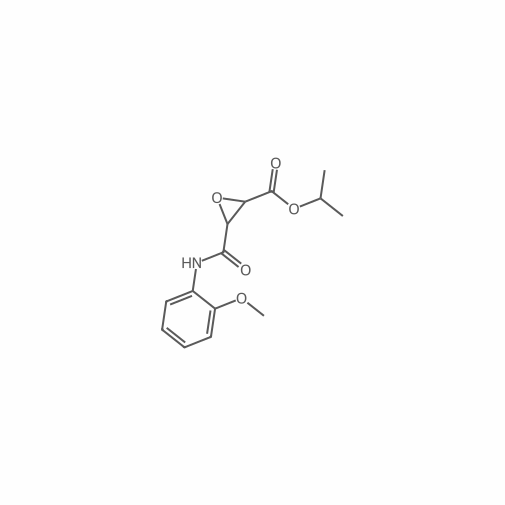 COc1ccccc1NC(=O)C1OC1C(=O)OC(C)C